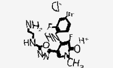 Cn1cc(-c2nnc(NCCN)o2)c(Nc2ccc(Br)cc2F)c(F)c1=O.[Cl-].[H+]